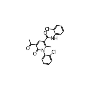 CC(=O)c1cc(C(=O)Nc2ccccc2Cl)c(C)n(-c2ccccc2Cl)c1=O